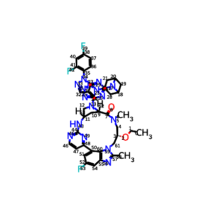 CCO[C@H]1CN(C)C(=O)[C@@H]2C[C@@H](CN2c2nc(N3C4CC3CC(n3cnnn3)C4)nc3c2cnn3-c2ccc(F)cc2F)Nc2nccc(n2)-c2cc(F)cc3nc(C)n(c23)C1